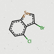 Clc1cccc2scc(Br)c12